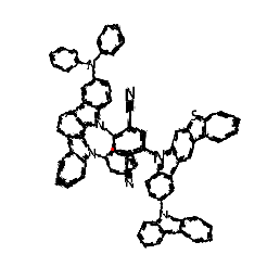 N#Cc1cc(-n2c3ccc(N(c4ccccc4)c4ccccc4)cc3c3ccc4c5ccccc5n(-c5ccccc5)c4c32)c(C#N)cc1-n1c2ccc(-n3c4ccccc4c4ccccc43)cc2c2cc3c(cc21)sc1ccccc13